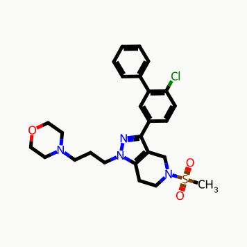 CS(=O)(=O)N1CCc2c(c(-c3ccc(Cl)c(-c4ccccc4)c3)nn2CCCN2CCOCC2)C1